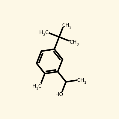 Cc1ccc(C(C)(C)C)cc1C(C)O